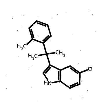 Cc1ccccc1C(C)(C)c1c[nH]c2ccc(Cl)cc12